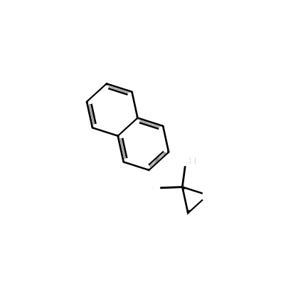 CC1(C)CO1.c1ccc2ccccc2c1